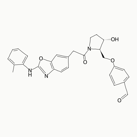 Cc1ccccc1Nc1nc2ccc(CC(=O)N3CC[C@H](O)[C@H]3COc3ccc(C=O)cc3)cc2o1